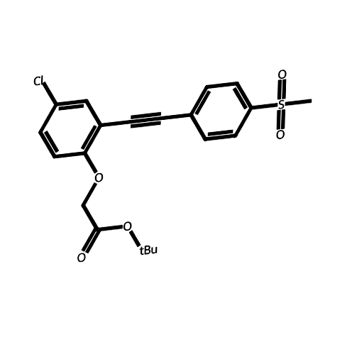 CC(C)(C)OC(=O)COc1ccc(Cl)cc1C#Cc1ccc(S(C)(=O)=O)cc1